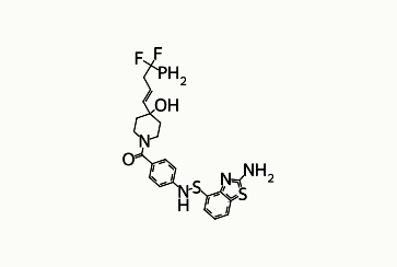 Nc1nc2c(SNc3ccc(C(=O)N4CCC(O)(/C=C/CC(F)(F)P)CC4)cc3)cccc2s1